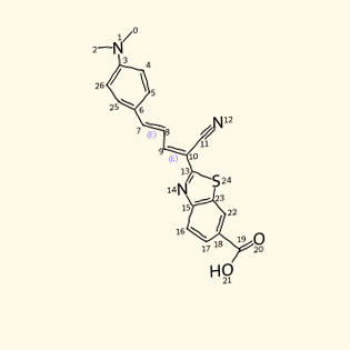 CN(C)c1ccc(/C=C/C=C(\C#N)c2nc3ccc(C(=O)O)cc3s2)cc1